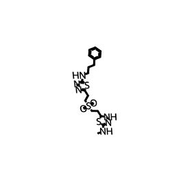 CNC1=NNC(CCS(=O)(=O)CCc2nnc(NCCCc3ccccc3)s2)S1